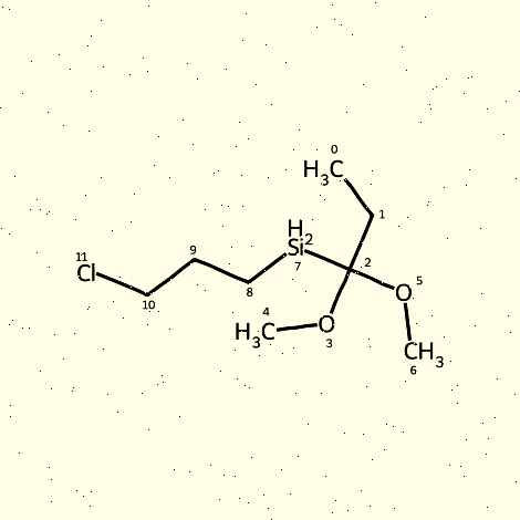 CCC(OC)(OC)[SiH2]CCCCl